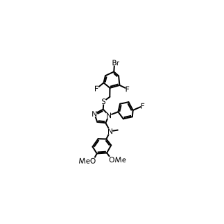 COc1ccc(N(C)c2cnc(SCc3c(F)cc(Br)cc3F)n2-c2ccc(F)cc2)cc1OC